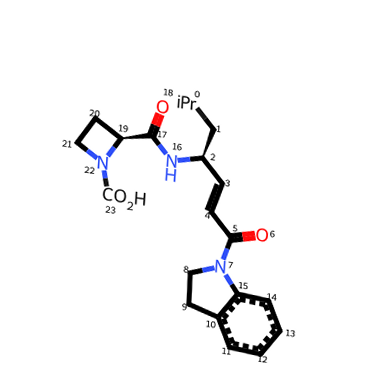 CC(C)C[C@@H](C=CC(=O)N1CCc2ccccc21)NC(=O)[C@@H]1CCN1C(=O)O